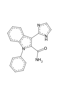 NC(=O)c1c(-c2ncc[nH]2)c2ccccc2n1-c1ccccc1